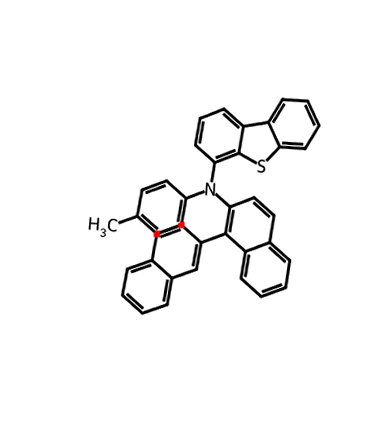 Cc1ccc(N(c2ccc3ccccc3c2-c2ccc3ccccc3c2)c2cccc3c2sc2ccccc23)cc1